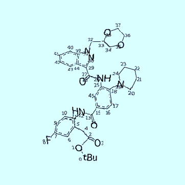 CC(C)(C)OC(=O)Cc1cc(F)ccc1NC(=O)c1ccc(N2CCCCC2)c(NC(=O)c2nn(CC3COCCO3)c3ccccc23)c1